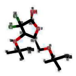 CC(C)(C)[Si](C)(C)OC[C@H]1O[C@@H](O)C(Cl)(Cl)C1O[Si](C)(C)C(C)(C)C